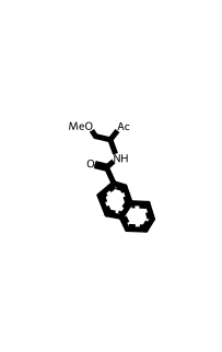 COCC(NC(=O)c1ccc2ccccc2c1)C(C)=O